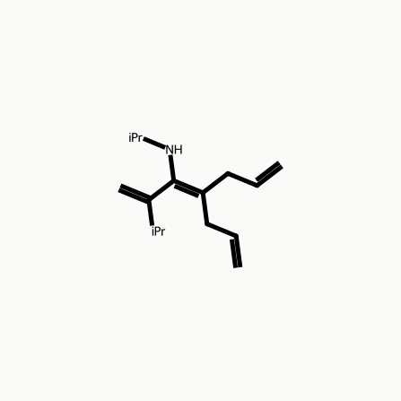 C=CCC(CC=C)=C(NC(C)C)C(=C)C(C)C